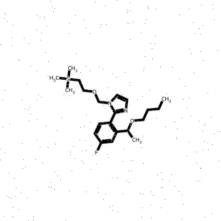 CCCCOC(C)c1cc(F)ccc1-c1nccn1COCC[Si](C)(C)C